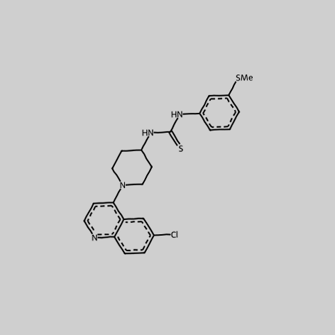 CSc1cccc(NC(=S)NC2CCN(c3ccnc4ccc(Cl)cc34)CC2)c1